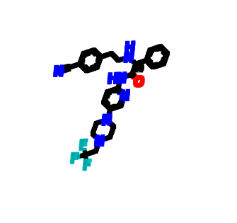 N#Cc1ccc(CCN[C@@H](C(=O)Nc2ccc(N3CCN(CC(F)(F)F)CC3)cn2)c2ccccc2)cc1